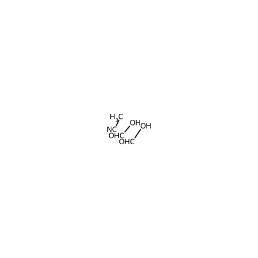 CC#N.O=CO.O=CO